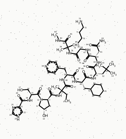 CC[C@](C)(NC(=O)[C@H]1C[C@H](O)CN1C(=O)[C@H](CO)NC(=O)c1c[nH]cn1)C(=O)N[C@@H](Cc1ccncc1)C(=O)N[C@@H](CC1CCCCC1)C(=O)N[C@@H](CC(C)(C)C)C(=O)N[C@@H](CC(N)=O)C(=O)N[C@@H](CCCCN)C(=O)NC(C)(C)C(=O)NC